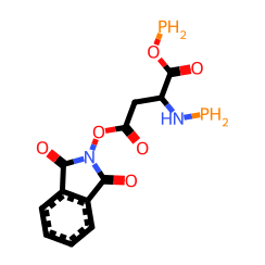 O=C(CC(NP)C(=O)OP)ON1C(=O)c2ccccc2C1=O